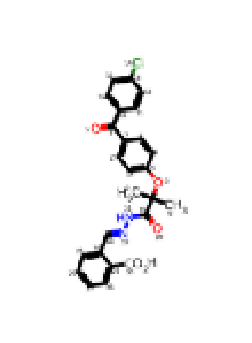 CC(C)(Oc1ccc(C(=O)c2ccc(Cl)cc2)cc1)C(=O)N/N=C/c1ccccc1C(=O)O